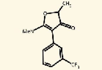 CNC1=C(c2cccc(C(F)(F)F)c2)C(=O)C(C)O1